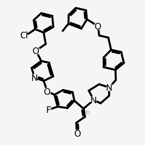 Cc1cccc(OCCc2ccc(CN3CCN(/C(=C/C=O)c4ccc(Oc5ccc(OCc6ccccc6Cl)cn5)c(F)c4)CC3)cc2)c1